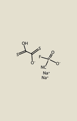 N#CP(=O)([O-])F.[Na+].[Na+].[O-]C(=S)C(O)=S